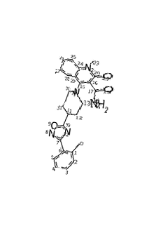 Cc1ccccc1-c1noc(C2CCN(c3c(C(N)=O)c(=O)n(C)c4ccccc34)CC2)n1